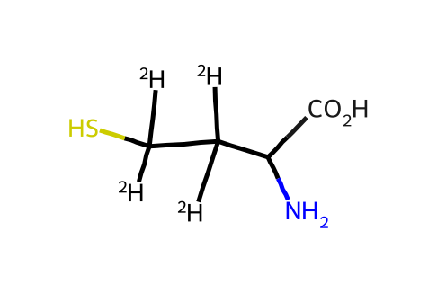 [2H]C([2H])(S)C([2H])([2H])C(N)C(=O)O